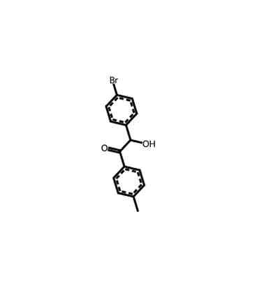 Cc1ccc(C(=O)C(O)c2ccc(Br)cc2)cc1